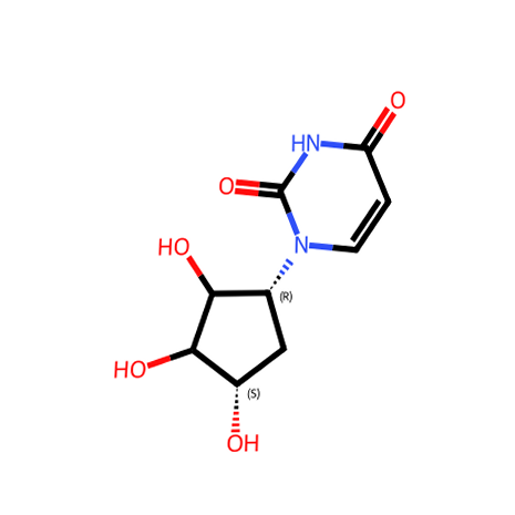 O=c1ccn([C@@H]2C[C@H](O)C(O)C2O)c(=O)[nH]1